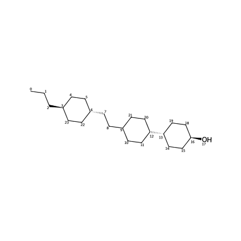 CCC[C@H]1CC[C@H](CCC2CCC([C@H]3CC[C@H](O)CC3)CC2)CC1